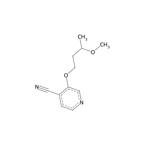 COC(C)CCOc1cnccc1C#N